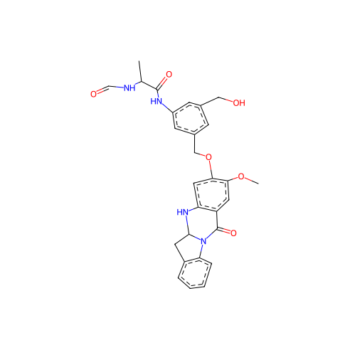 COc1cc2c(cc1OCc1cc(CO)cc(NC(=O)C(C)NC=O)c1)NC1Cc3ccccc3N1C2=O